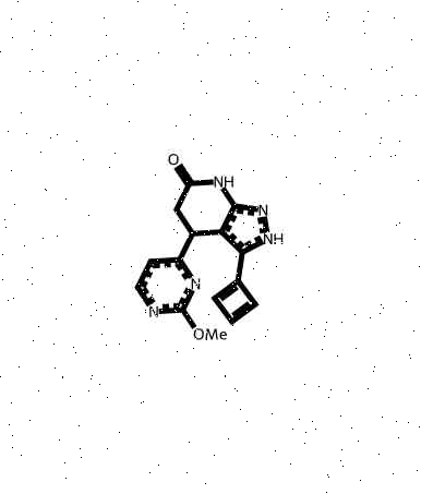 COc1nccc(C2CC(=O)Nc3n[nH]c(C4=CC=C4)c32)n1